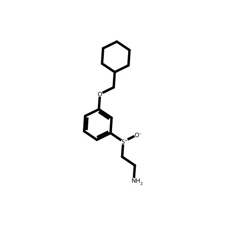 NCC[S+]([O-])c1cccc(OCC2CCCCC2)c1